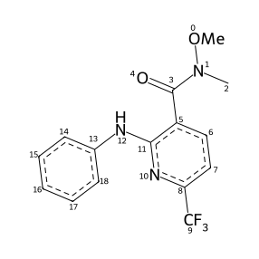 CON(C)C(=O)c1ccc(C(F)(F)F)nc1Nc1ccccc1